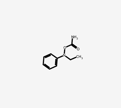 CCN(OC(N)=O)c1ccccc1